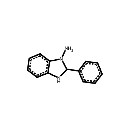 NN1c2ccccc2NC1c1ccccc1